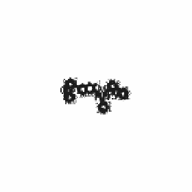 CC1Cc2cc(-c3cccc4oc5ccccc5c34)ccc2C=C1c1nc(-c2ccccc2)nc(-c2cccc3c2sc2ccccc23)n1